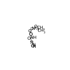 CC(C)CC(=O)N1CC[C@@H](Oc2ccc(NC(=O)C3CN(c4cccnn4)C3)cc2)C1